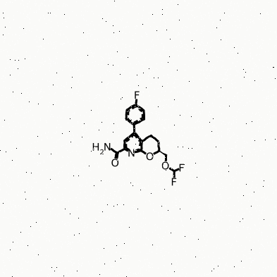 NC(=O)c1cc(-c2ccc(F)cc2)c2c(n1)O[C@H](COC(F)F)CC2